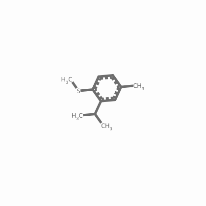 CSc1ccc(C)cc1[C](C)C